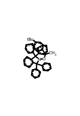 CC(ON1C(c2ccccc2)(c2ccccc2)c2ccccc2C1(c1ccccc1)c1ccccc1)c1ccc(C(C)(C)C)cc1